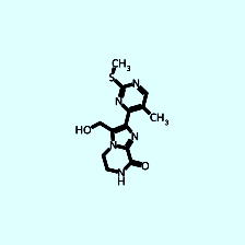 CSc1ncc(C)c(-c2nc3n(c2CO)CCNC3=O)n1